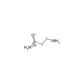 NCC[PH](N)=O